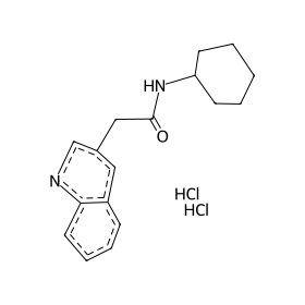 Cl.Cl.O=C(Cc1cnc2ccccc2c1)NC1CCCCC1